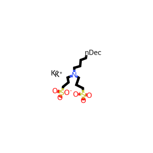 CCCCCCCCCCCCCCN(CCCS(=O)(=O)[O-])CCCS(=O)(=O)[O-].[K+].[K+]